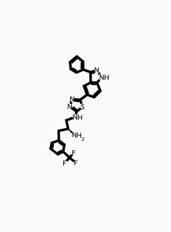 N[C@H](CNc1nnc(-c2ccc3[nH]nc(-c4ccccc4)c3c2)s1)Cc1cccc(C(F)(F)F)c1